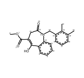 COC(=O)C1=C(O)c2ccccc2N(Cc2cccc(C)c2C)C(=O)C1